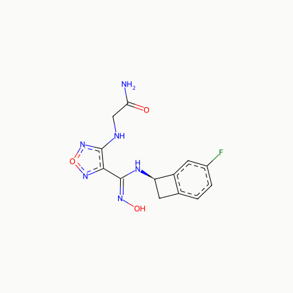 NC(=O)CNc1nonc1/C(=N/O)N[C@@H]1Cc2ccc(F)cc21